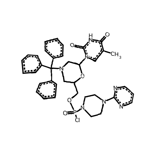 Cc1cn(C2CN(C(c3ccccc3)(c3ccccc3)c3ccccc3)CC(COP(=O)(Cl)N3CCN(c4ncccn4)CC3)O2)c(=O)[nH]c1=O